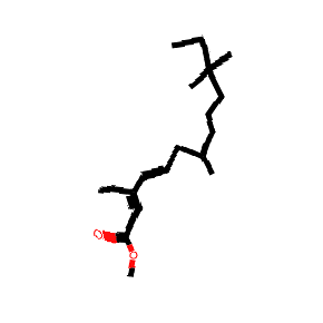 CCC(C)(C)CCCC(C)CC=CC(C)=CC(=O)OC